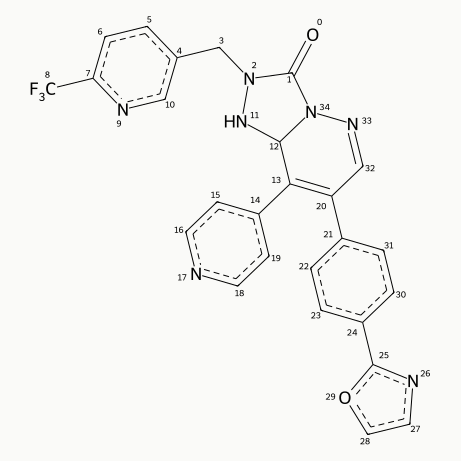 O=C1N(Cc2ccc(C(F)(F)F)nc2)NC2C(c3ccncc3)=C(c3ccc(-c4ncco4)cc3)C=NN12